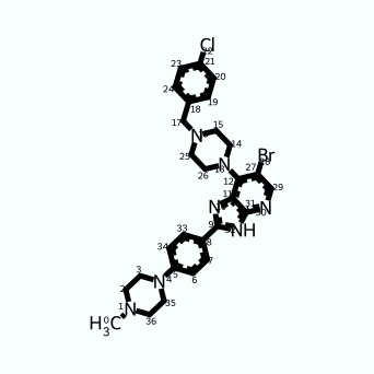 CN1CCN(c2ccc(-c3nc4c(N5CCN(Cc6ccc(Cl)cc6)CC5)c(Br)cnc4[nH]3)cc2)CC1